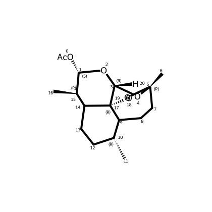 CC(=O)O[C@@H]1O[C@@H]2O[C@@]3(C)CCC4[C@H](C)CCC([C@H]1C)[C@]42OO3